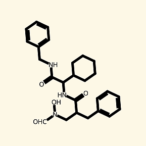 O=CN(O)CC(Cc1ccccc1)C(=O)NC(C(=O)NCc1ccccc1)C1CCCCC1